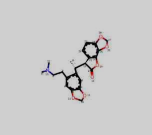 C[C@@H](c1cc2c(cc1CCN(C)C)OCO2)[C@@H]1C(=O)Oc2c1ccc1c2OCO1